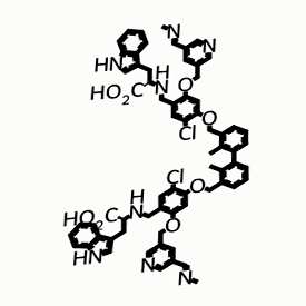 C/N=C/c1cncc(COc2cc(OCc3cccc(-c4cccc(COc5cc(OCc6cncc(/C=N/C)c6)c(CN[C@@H](Cc6c[nH]c7ccccc67)C(=O)O)cc5Cl)c4C)c3C)c(Cl)cc2CN[C@@H](Cc2c[nH]c3ccccc23)C(=O)O)c1